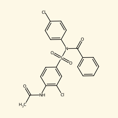 CC(=O)Nc1ccc(S(=O)(=O)N(C(=O)c2ccccc2)c2ccc(Cl)cc2)cc1Cl